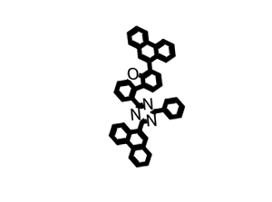 C1=Cc2c(cc(-c3nc(-c4ccccc4)nc(-c4cccc5oc6c(-c7cc8ccccc8c8ccccc78)cccc6c45)n3)c3ccccc23)CC1